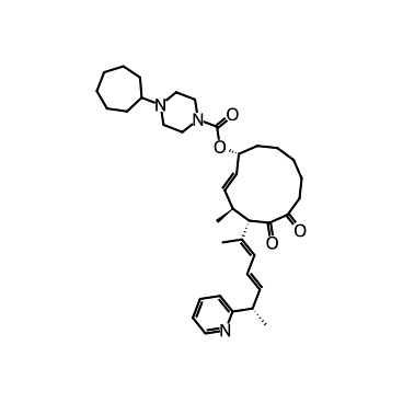 C/C(=C\C=C\[C@H](C)c1ccccn1)[C@H]1C(=O)C(=O)CCCCC[C@@H](OC(=O)N2CCN(C3CCCCCC3)CC2)/C=C/[C@@H]1C